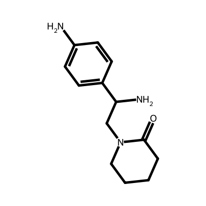 Nc1ccc(C(N)CN2CCCCC2=O)cc1